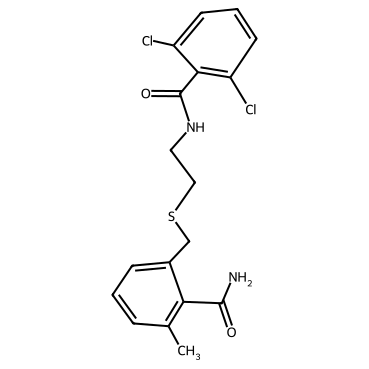 Cc1cccc(CSCCNC(=O)c2c(Cl)cccc2Cl)c1C(N)=O